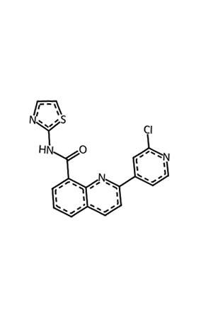 O=C(Nc1nccs1)c1cccc2ccc(-c3ccnc(Cl)c3)nc12